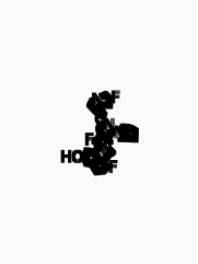 C#Cc1c(F)ccc2cc(O)cc(-c3ncc4c(N5CC6CCC(C5)O6)nc(OC[C@@]56CCCN5C[C@H](F)C6)cc4c3F)c12